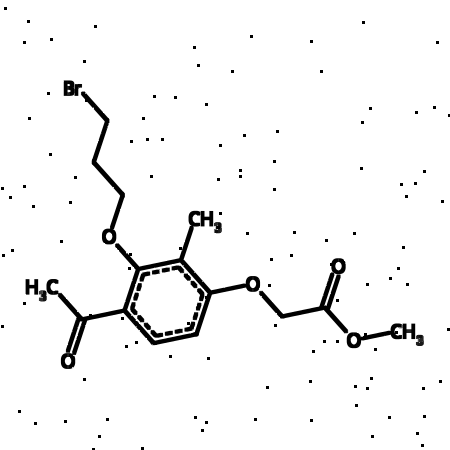 COC(=O)COc1ccc(C(C)=O)c(OCCCBr)c1C